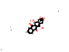 CC(=O)C12Cc3c(O)c4c(c(O)c3CC1O2)C(=O)c1ccccc1C4=O